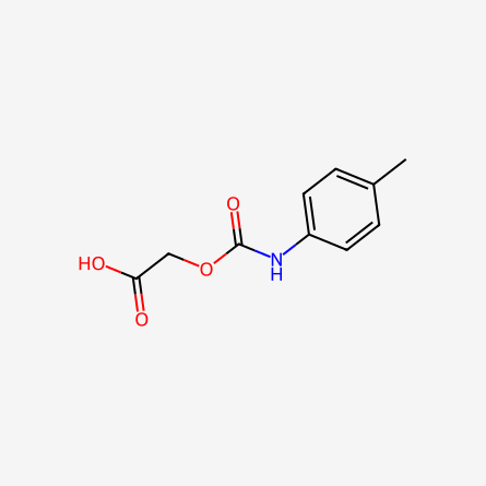 Cc1ccc(NC(=O)OCC(=O)O)cc1